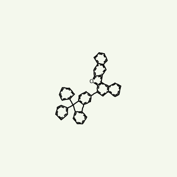 c1ccc(C2(c3ccccc3)c3ccccc3-c3cc(-c4cc5ccccc5c5c4oc4cc6ccccc6cc45)ccc32)cc1